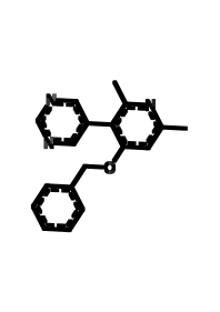 Cc1cc(OCc2ccccc2)c(-c2cncnc2)c(C)n1